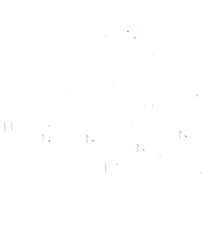 CCN1CCCC1N(C)C(=O)c1nc(NC)sc1-c1ccncc1